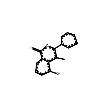 Cc1c(-c2ccccc2)oc(=O)c2cccc(S)c12